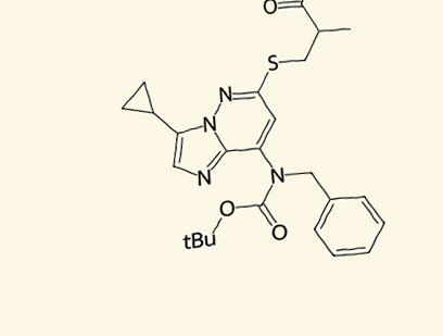 COC(=O)C(C)CSc1cc(N(Cc2ccccc2)C(=O)OC(C)(C)C)c2ncc(C3CC3)n2n1